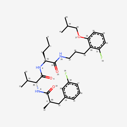 CCC[C@H](NC(=O)[C@H](NC(=O)[C@H](C)Cc1cccc(F)c1)C(C)C)C(=O)NCCCc1c(F)cccc1OCC(C)C